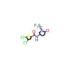 O=C(Nc1ccc(=O)n(CC(F)(F)F)c1)c1cc(Cl)c(Cl)s1